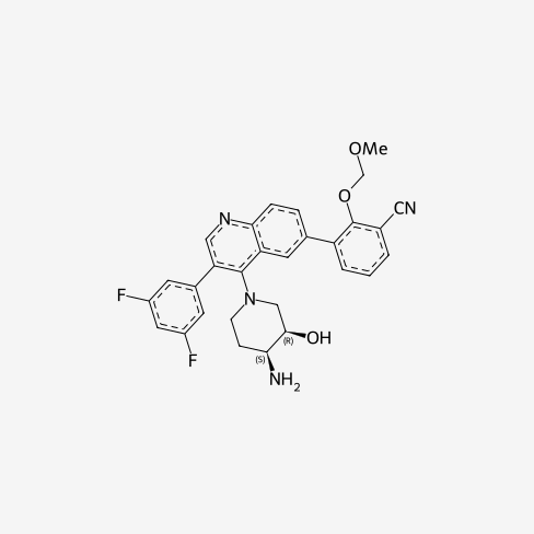 COCOc1c(C#N)cccc1-c1ccc2ncc(-c3cc(F)cc(F)c3)c(N3CC[C@H](N)[C@H](O)C3)c2c1